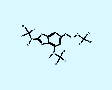 [O-][S+](c1nc2c([S+]([O-])C(Br)(Br)Br)cc(SOOC(Br)(Br)Br)cc2s1)C(Br)(Br)Br